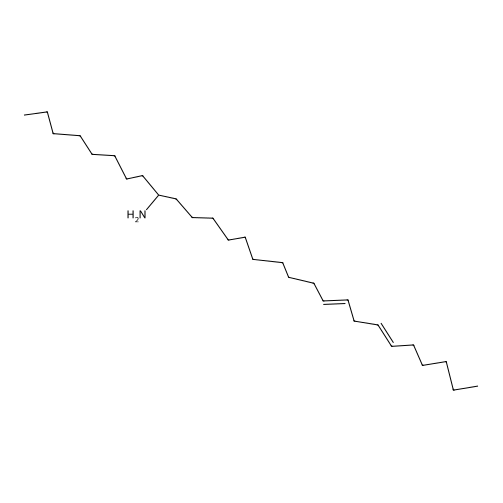 CCCCCC=CCC=CCCCCCCCCCC(N)CCCCCCCC